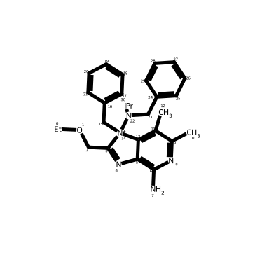 CCOCC1=Nc2c(N)nc(C)c(C)c2[N+]1(Cc1ccccc1)N(Cc1ccccc1)C(C)C